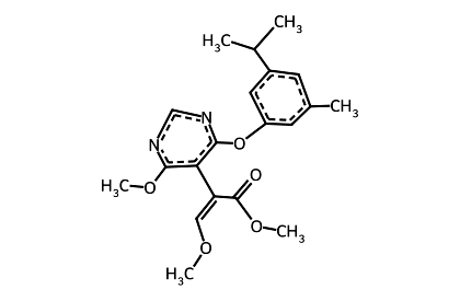 COC=C(C(=O)OC)c1c(OC)ncnc1Oc1cc(C)cc(C(C)C)c1